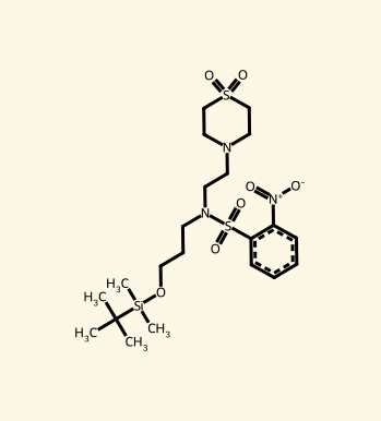 CC(C)(C)[Si](C)(C)OCCCN(CCN1CCS(=O)(=O)CC1)S(=O)(=O)c1ccccc1[N+](=O)[O-]